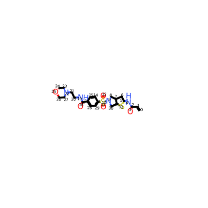 C=CC(=O)NC1CC2CN(S(=O)(=O)c3ccc(C(=O)NCCN4CCOCC4)cc3)CC2S1